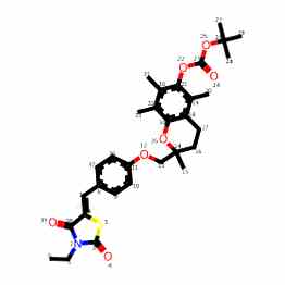 CCN1C(=O)S/C(=C\c2ccc(OCC3(C)CCc4c(C)c(OC(=O)OC(C)(C)C)c(C)c(C)c4O3)cc2)C1=O